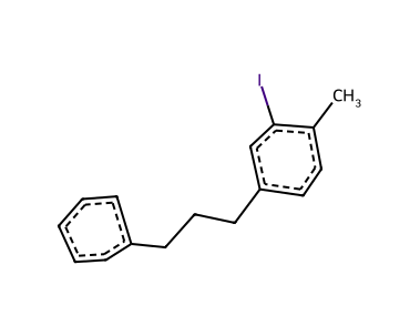 Cc1ccc(CCCc2ccccc2)cc1I